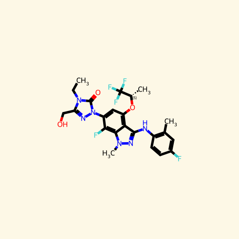 CCn1c(CO)nn(-c2cc(O[C@@H](C)C(F)(F)F)c3c(Nc4ccc(F)cc4C)nn(C)c3c2F)c1=O